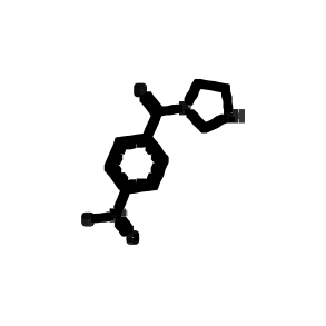 O=C(c1ccc([N+](=O)[O-])cc1)N1CCNC1